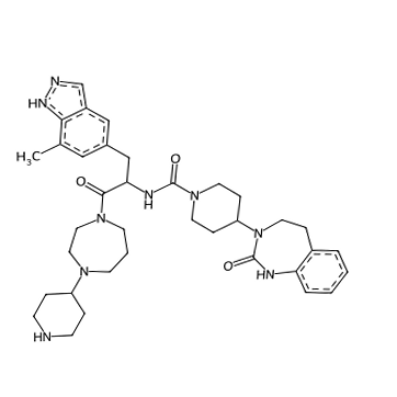 Cc1cc(CC(NC(=O)N2CCC(N3CCc4ccccc4NC3=O)CC2)C(=O)N2CCCN(C3CCNCC3)CC2)cc2cn[nH]c12